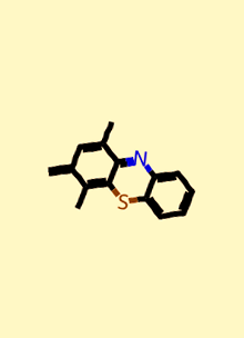 C=c1cc(C)c2c(c1C)Sc1ccccc1N=2